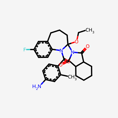 CCOC1(N2C(=O)C3CCCCC3C2=O)CCCc2cc(F)ccc2N1C(=O)c1ccc(N)cc1C